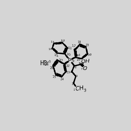 Br.CCCCC(C(=O)O)[P](c1ccccc1)(c1ccccc1)c1ccccc1